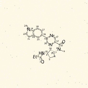 CCC(=O)N[C@H]1CC[C@@H](N(C)C(=O)c2cnc(-c3ccc4c(ccn4C)c3)cn2)C1